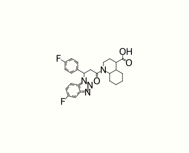 O=C(O)C1CCN(C(=O)CC(c2ccc(F)cc2)n2nnc3cc(F)ccc32)C2CCCCC12